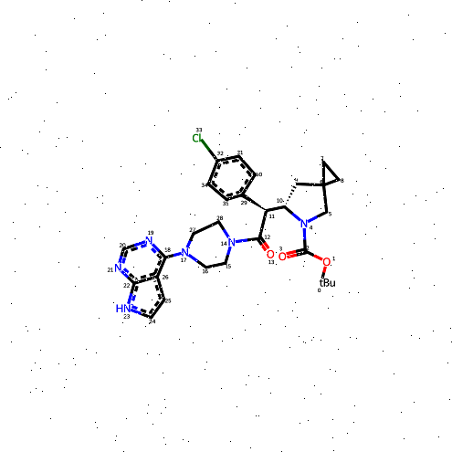 CC(C)(C)OC(=O)N1CC2(CC2)C[C@H]1[C@@H](C(=O)N1CCN(c2ncnc3[nH]ccc23)CC1)c1ccc(Cl)cc1